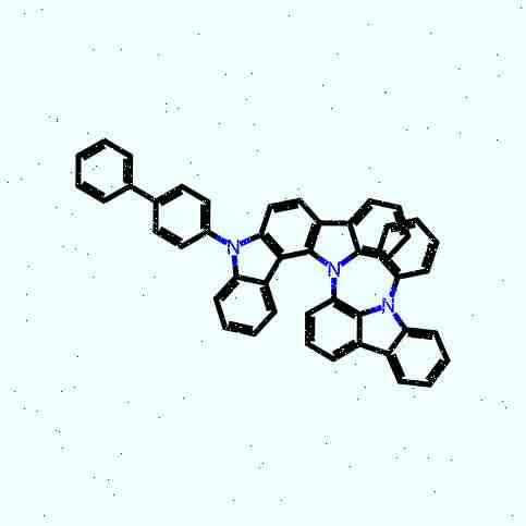 c1ccc(-c2ccc(-n3c4ccccc4c4c3ccc3c5ccccc5n(-c5cccc6c7ccccc7n(-c7ccccc7)c56)c34)cc2)cc1